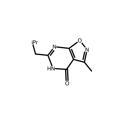 Cc1noc2nc(CC(C)C)[nH]c(=O)c12